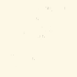 COc1cc2nccc(Oc3ccc(C4(C(N)=O)CN(C)C(C(N)=O)=C(c5ccc(F)cc5)C4=O)cc3F)c2cc1OC